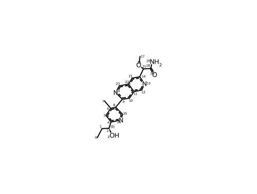 CC[C@H](O)c1cc(C)c(-c2cc3cnc(C(OC)C(N)=O)cc3cn2)cn1